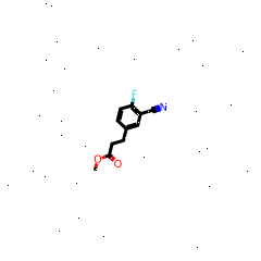 COC(=O)CCc1ccc(F)c(C#N)c1